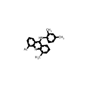 CC(=O)c1cccc2c(Nc3ccc(C)cc3C)c3cccc(C)c3nc12